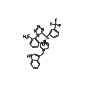 Cc1cccc(C)c1-n1nnnc1[C@H](c1cccc(C(F)(F)F)c1)N1CCN(Cc2c[nH]c3ccccc23)CC1